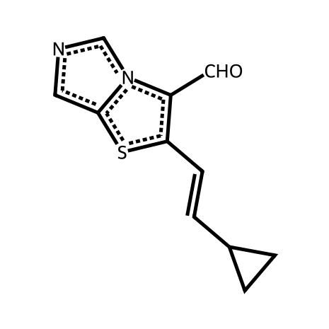 O=Cc1c(C=CC2CC2)sc2cncn12